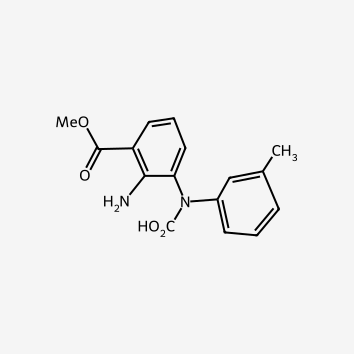 COC(=O)c1cccc(N(C(=O)O)c2cccc(C)c2)c1N